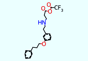 O=C(CCNCCc1cccc(OCCCc2ccccc2)c1)OC(=O)C(F)(F)F